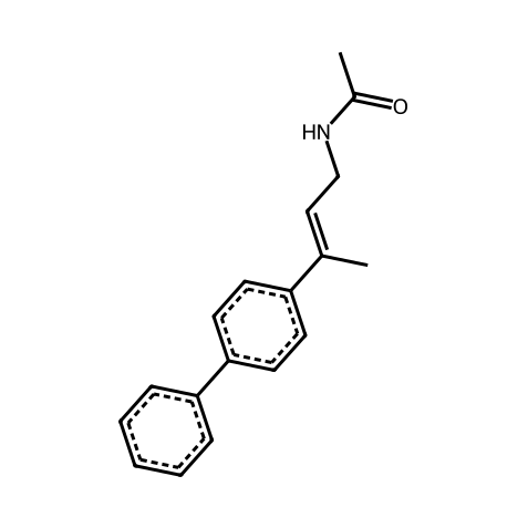 CC(=O)NCC=C(C)c1ccc(-c2ccccc2)cc1